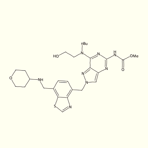 CCCCN(CCO)c1nc(NC(=O)OC)nc2cn(Cc3ccc(CNC4CCOCC4)c4scnc34)nc12